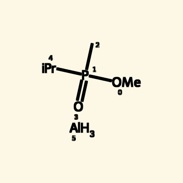 COP(C)(=O)C(C)C.[AlH3]